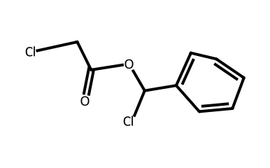 O=C(CCl)OC(Cl)c1ccccc1